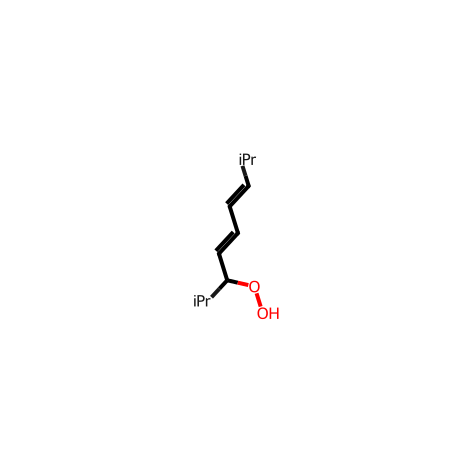 CC(C)/C=C/C=C/C(OO)C(C)C